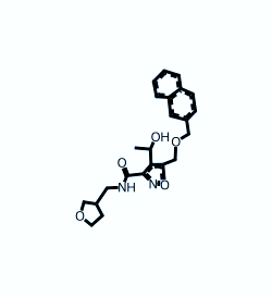 CC(O)c1c(C(=O)NCC2CCOC2)noc1COCc1ccc2ccccc2c1